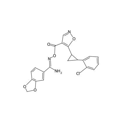 NC(=NOC(=O)c1cnoc1C1CC1c1ccccc1Cl)c1ccc2c(c1)OCO2